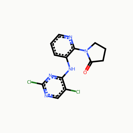 O=C1CCCN1c1ncccc1Nc1nc(Cl)ncc1Cl